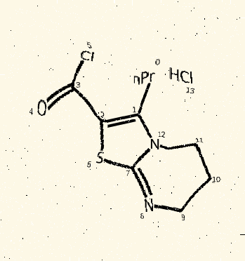 CCCC1=C(C(=O)Cl)SC2=NCCCN21.Cl